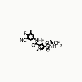 Cc1cc(NC(=O)c2c(F)c(S(=O)(=O)N[C@H](C)C(F)(F)F)cn2C)cc(C#N)c1F